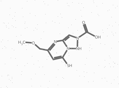 COCC1=NC2=CN(C(=O)O)NN2C(S)=C1